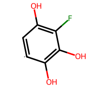 Oc1[c]cc(O)c(F)c1O